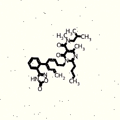 C=C/C=C(\C=C/CCn1c(CCCC)nc(C)c(C(=O)N(C)CC(C)C)c1=O)c1ccccc1-c1noc(=O)[nH]1